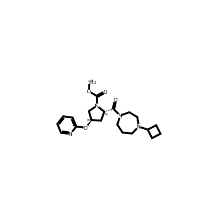 CC(C)(C)OC(=O)N1C[C@H](Oc2ccccn2)C[C@H]1C(=O)N1CCCN(C2CCC2)CC1